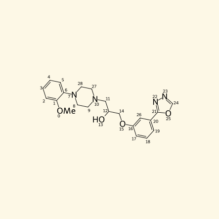 COc1ccccc1N1CCN(CC(O)COc2cccc(-c3nnco3)c2)CC1